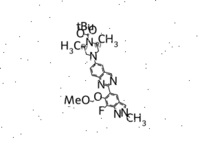 COCOc1c(-c2ncc3cc(N4C[C@@H](C)N(C(=O)OC(C)(C)C)[C@H](C)C4)ccc3n2)cc2cn(C)nc2c1F